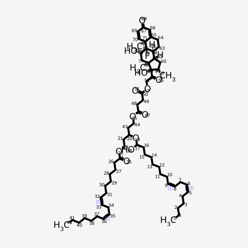 CCCCC/C=C\C/C=C\CCCCCCCC(O)OC(CCOC(=O)CCCCCC/C=C\C/C=C\CCCCCC)CCOC(=O)CCC(=O)OCC(=O)[C@@]1(O)[C@H](C)C[C@H]2[C@@H]3CCC4=CC(=O)C=C[C@]4(C)[C@@]3(F)[C@@H](O)C[C@@]21C